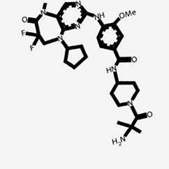 COc1cc(C(=O)NC2CCN(C(=O)C(C)(C)N)CC2)ccc1Nc1ncc2c(n1)N(C1CCCC1)CC(F)(F)C(=O)N2C